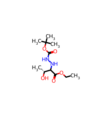 CCOC(=O)C(NNC(=O)OC(C)(C)C)[C@@H](C)O